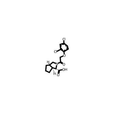 O=C(O)[C@@H]1[C@H]2CCC[C@H]2CN1C(=O)COc1ccc(Cl)cc1Cl